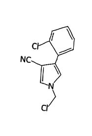 N#Cc1cn(CCl)cc1-c1ccccc1Cl